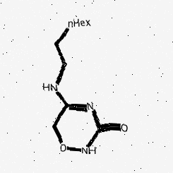 CCCCCCCCNC1=NC(=O)NOC1